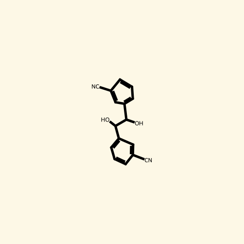 N#Cc1cccc(C(O)C(O)c2cccc(C#N)c2)c1